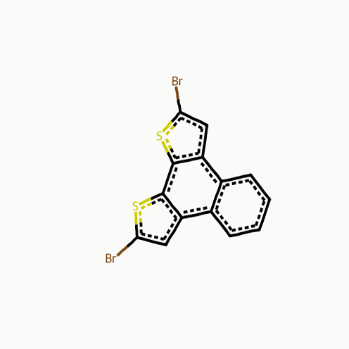 Brc1cc2c3ccccc3c3cc(Br)sc3c2s1